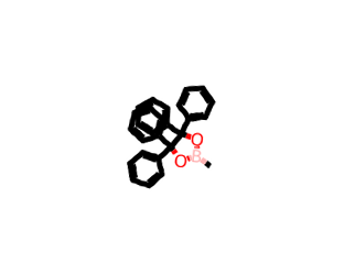 CB1OC(c2ccccc2)(c2ccccc2)C(c2ccccc2)(c2ccccc2)O1